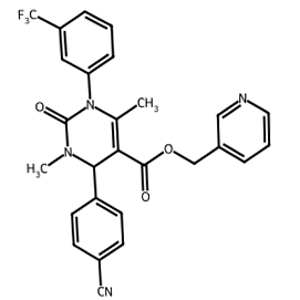 CC1=C(C(=O)OCc2cccnc2)C(c2ccc(C#N)cc2)N(C)C(=O)N1c1cccc(C(F)(F)F)c1